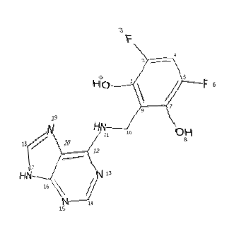 Oc1c(F)cc(F)c(O)c1CNc1ncnc2[nH]cnc12